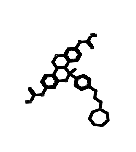 CC(C)(C)C(=O)Oc1ccc2c(c1)OC(C)(c1ccc(OCCN3CCCCCC3)cc1)C1=C2COc2cc(OC(=O)C(C)(C)C)ccc21